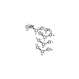 O.[O-][Cl+][O-].[O-][Cl+][O-].[O-][Cl+][O-].[O-][Cl+][O-].[Os+4]